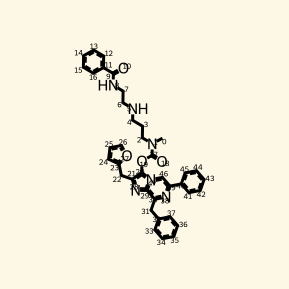 CN(CCCNCCNC(=O)c1ccccc1)C(=O)Oc1c(Cc2ccco2)nc2c(Cc3ccccc3)nc(-c3ccccc3)cn12